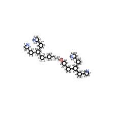 c1cncc(-c2cccc(-c3cc(-c4cccc(-c5ccc(CCCCOc6ccc(-c7cccc(-c8cc(-c9cccc(-c%10cccnc%10)c9)cc(-c9cccc(-c%10cccnc%10)c9)c8)c7)cc6)cc5)c4)cc(-c4cccc(-c5cccnc5)c4)c3)c2)c1